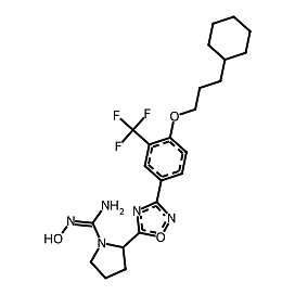 N/C(=N/O)N1CCCC1c1nc(-c2ccc(OCCCC3CCCCC3)c(C(F)(F)F)c2)no1